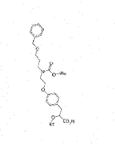 CCOC(Cc1ccc(OCCN(CCCOCc2ccccc2)C(=O)OC(C)CC)cc1)C(=O)O